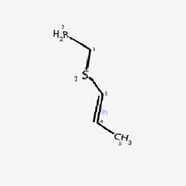 BCS/C=C/C